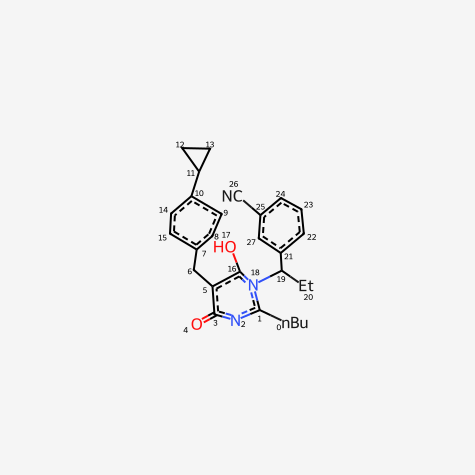 CCCCc1nc(=O)c(Cc2ccc(C3CC3)cc2)c(O)n1C(CC)c1cccc(C#N)c1